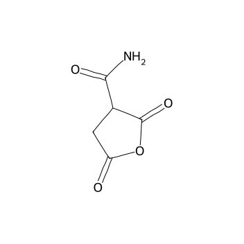 NC(=O)C1CC(=O)OC1=O